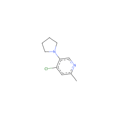 Cc1cc(Cl)c(N2CCCC2)cn1